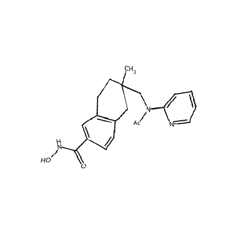 CC(=O)N(CC1(C)CCc2cc(C(=O)NO)ccc2C1)c1ccccn1